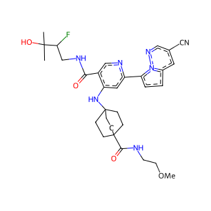 COCCNC(=O)C12CCC(Nc3cc(-c4ccc5cc(C#N)cnn45)ncc3C(=O)NCC(F)C(C)(C)O)(CC1)CC2